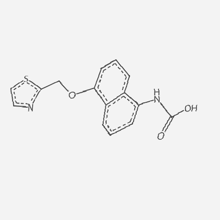 O=C(O)Nc1cccc2c(OCc3nccs3)cccc12